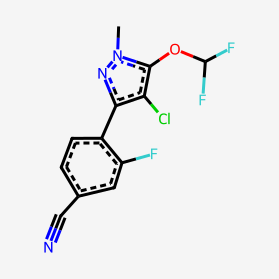 Cn1nc(-c2ccc(C#N)cc2F)c(Cl)c1OC(F)F